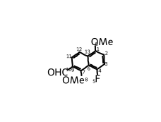 COc1ccc(F)c2c(OC)c(C=O)ccc12